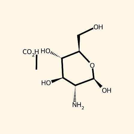 CC(=O)O.N[C@@H]1[C@@H](O)[C@H](O)[C@@H](CO)O[C@H]1O